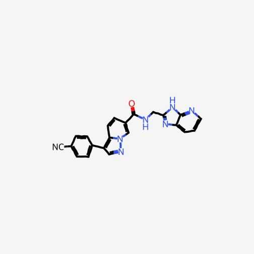 N#Cc1ccc(-c2cnn3cc(C(=O)NCc4nc5cccnc5[nH]4)ccc23)cc1